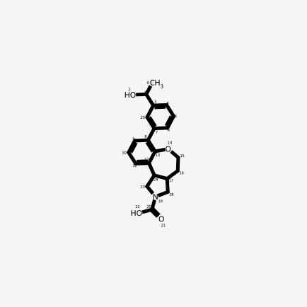 CC(O)c1cccc(-c2cccc3c2OCCC2CN(C(=O)O)CC32)c1